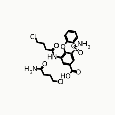 NC(=O)CCCCl.NS(=O)(=O)c1cc(C(=O)O)cc(NC(=O)CCCCl)c1Oc1ccccc1